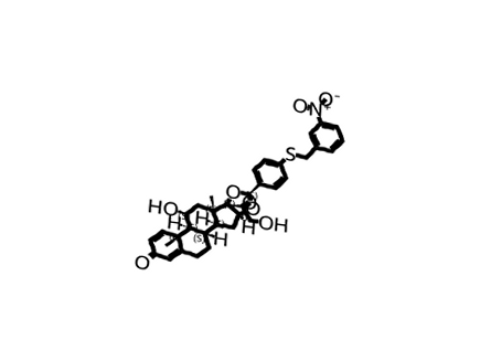 C[C@]12C=CC(=O)C=C1CC[C@@H]1[C@@H]2[C@@H](O)C[C@@]2(C)[C@H]1C[C@H]1O[C@H](c3ccc(SCc4cccc([N+](=O)[O-])c4)cc3)O[C@]12C(=O)CO